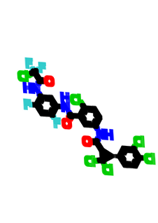 O=C(Nc1cc(NC(=O)C(F)(F)Cl)c(F)cc1F)c1cc(NC(=O)C2[C@H](c3ccc(Cl)c(Cl)c3)C2(Cl)Cl)ccc1Cl